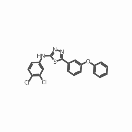 Clc1ccc(Nc2nnc(-c3cccc(Oc4ccccc4)c3)s2)cc1Cl